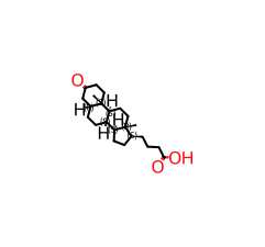 C[C@]12CCC(=O)C[C@H]1CC[C@@H]1[C@@H]2CC[C@]2(C)[C@@H](CCCC(=O)O)CC[C@@H]12